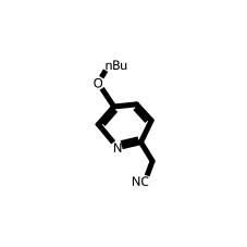 CCCCOc1ccc(CC#N)nc1